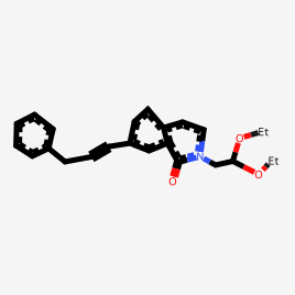 CCOC(Cn1ccc2ccc(C#CCc3ccccc3)cc2c1=O)OCC